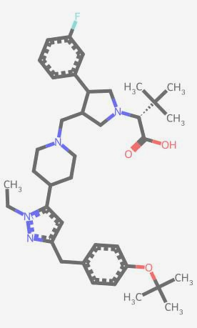 CCn1nc(Cc2ccc(OC(C)(C)C)cc2)cc1C1CCN(CC2CN([C@@H](C(=O)O)C(C)(C)C)CC2c2cccc(F)c2)CC1